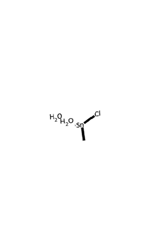 O.O.[CH3][Sn][Cl]